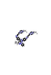 C=NN(c1ccccc1)c1nc(-c2ccc(/C=N/CCCCN3CCN(C)CC3)cc2)nc(-c2ccc(/C=N\CCCCN3CCN(C)CC3)cc2)c1C